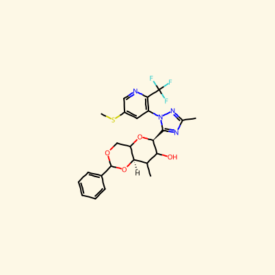 CSc1cnc(C(F)(F)F)c(-n2nc(C)nc2[C@@H]2OC3COC(c4ccccc4)O[C@@H]3C(C)C2O)c1